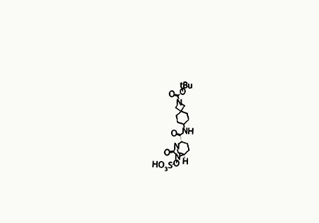 CC(C)(C)OC(=O)N1CC2(CCC(NC(=O)[C@@H]3CC[C@@H]4CN3C(=O)N4OS(=O)(=O)O)CC2)C1